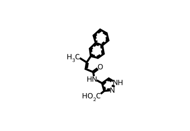 C/C(=C/C(=O)Nc1c[nH]nc1C(=O)O)c1ccc2ccccc2c1